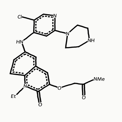 CCn1c(=O)c(OCC(=O)NC)cc2cc(Nc3cc(N4CCNCC4)ncc3Cl)ccc21